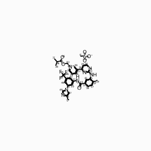 CS(=O)(=O)[O-].Cc1cn(-c2cc(NC(=O)c3ccc(C)c(Nc4nccc(-c5ccc[n+](COC(=O)C(C)C)c5)n4)c3)cc(C(F)(F)F)c2)cn1